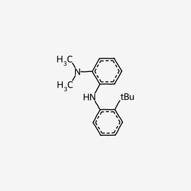 CN(C)c1ccccc1Nc1ccccc1C(C)(C)C